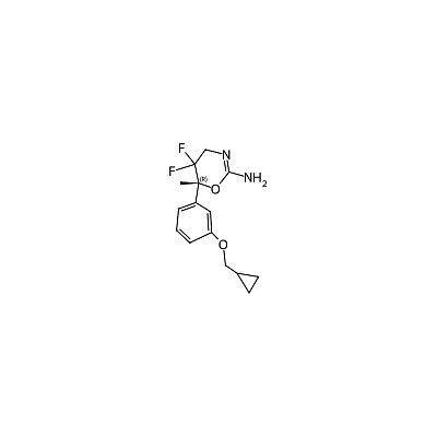 C[C@]1(c2cccc(OCC3CC3)c2)OC(N)=NCC1(F)F